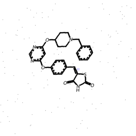 O=C1NC(=O)/C(=C\c2ccc(Oc3cc(OC4CCN(Cc5ccccc5)CC4)ncn3)cc2)S1